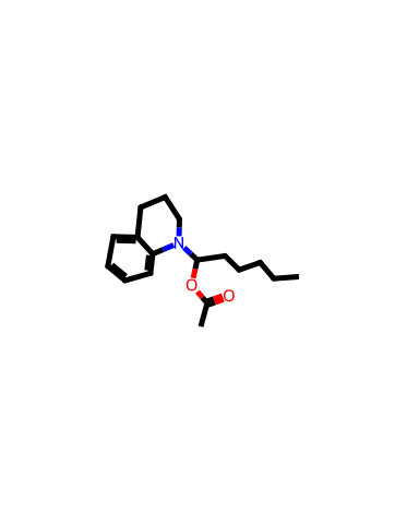 CCCCCC(OC(C)=O)N1CCCc2ccccc21